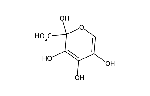 O=C(O)C1(O)OC=C(O)C(O)=C1O